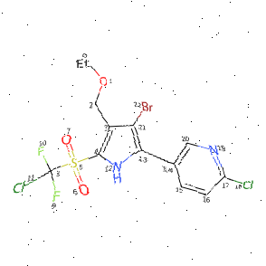 CCOCc1c(S(=O)(=O)C(F)(F)Cl)[nH]c(-c2ccc(Cl)nc2)c1Br